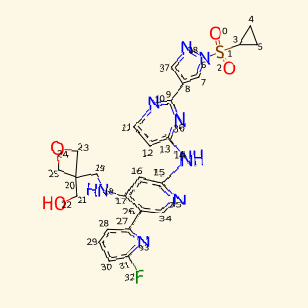 O=S(=O)(C1CC1)n1cc(-c2nccc(Nc3cc(NCC4(CO)COC4)c(-c4cccc(F)n4)cn3)n2)cn1